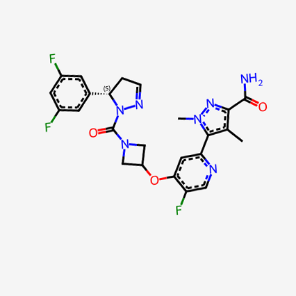 Cc1c(C(N)=O)nn(C)c1-c1cc(OC2CN(C(=O)N3N=CC[C@H]3c3cc(F)cc(F)c3)C2)c(F)cn1